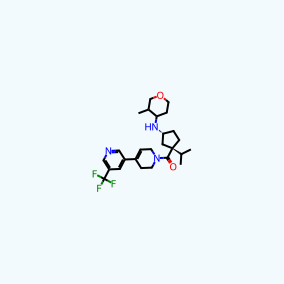 CC1COCCC1N[C@@H]1CC[C@@](C(=O)N2CC=C(c3cncc(C(F)(F)F)c3)CC2)(C(C)C)C1